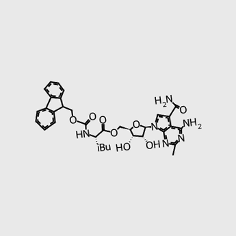 CCC(C)[C@H](NC(=O)OCC1c2ccccc2-c2ccccc21)C(=O)OC[C@H]1O[C@@H](n2cc(C(N)=O)c3c(N)nc(C)nc32)[C@H](O)[C@@H]1O